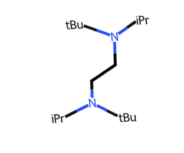 CC(C)N(CCN(C(C)C)C(C)(C)C)C(C)(C)C